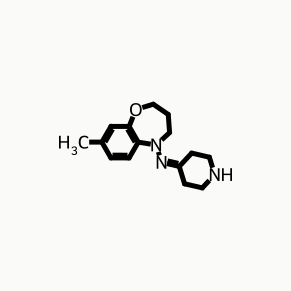 Cc1ccc2c(c1)OCCCN2N=C1CCNCC1